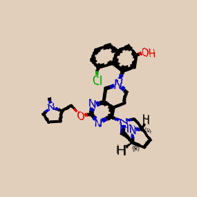 CN1CCCC1COc1nc2c(c(N3C[C@H]4CC[C@@H](C3)N4)n1)CCN(c1cc(O)cc3cccc(Cl)c13)C2